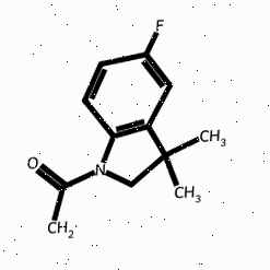 [CH2]C(=O)N1CC(C)(C)c2cc(F)ccc21